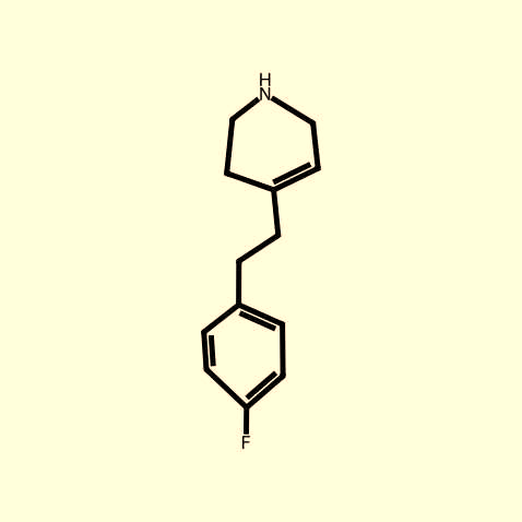 Fc1ccc(CCC2=CCNCC2)cc1